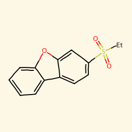 CCS(=O)(=O)c1ccc2c(c1)oc1ccccc12